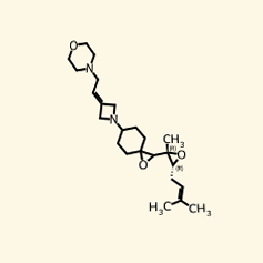 CC(C)=CC[C@H]1O[C@@]1(C)C1OC12CCC(N1CC(=CCN3CCOCC3)C1)CC2